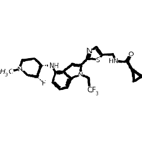 CN1CC[C@H](Nc2cccc3c2cc(-c2ncc(CNC(=O)C4CC4)s2)n3CC(F)(F)F)[C@H](F)C1